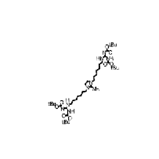 CC(C)(C)OC(=O)/N=C(/NCCCCCCCN1CCN(CCCCCCCN/C(=N\C(=O)OC(C)(C)C)NC(=O)OC(C)(C)C)C1=N)NC(=O)OC(C)(C)C